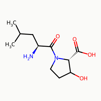 CC(C)C[C@H](N)C(=O)N1CCC(O)[C@H]1C(=O)O